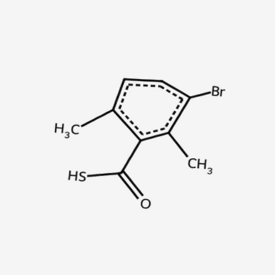 Cc1ccc(Br)c(C)c1C(=O)S